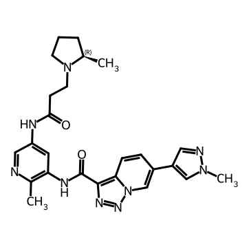 Cc1ncc(NC(=O)CCN2CCC[C@H]2C)cc1NC(=O)c1nnn2cc(-c3cnn(C)c3)ccc12